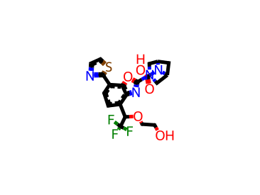 O=C(O)N1C2CC1CN(c1nc3c(C(OCCO)C(F)(F)F)ccc(-c4nccs4)c3o1)C2